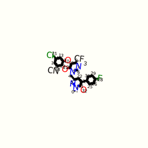 [CH2]n1nc(Cn2cnc(C(F)(F)F)c(Oc3cc(Cl)cc(C#N)c3)c2=O)cc(-c2ccc(F)cc2)c1=O